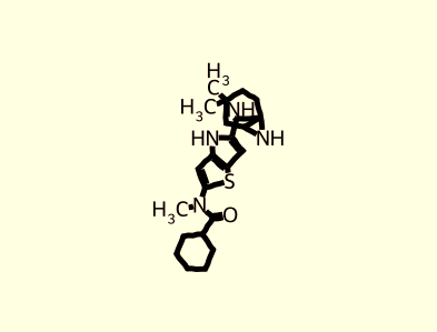 CN(C(=O)C1CCCCC1)c1cc2[nH]c(C(=N)C34CCC(C)(C)CC3N4)cc2s1